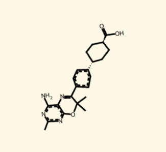 Cc1nc(N)c2c(n1)OC(C)(C)C(c1ccc([C@H]3CC[C@H](C(=O)O)CC3)cc1)=N2